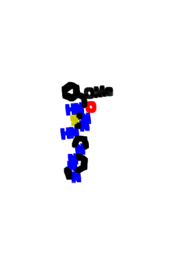 CO[C@@H](C(=O)Nc1nnc(N[C@@H]2CCN(c3ccc4nccn4n3)C2)s1)c1ccccc1